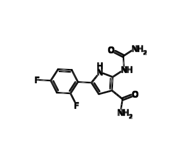 NC(=O)Nc1[nH]c(-c2ccc(F)cc2F)cc1C(N)=O